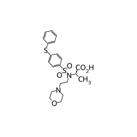 C[C@H](C(=O)O)N(CCN1CCOCC1)S(=O)(=O)c1ccc(Sc2ccccc2)cc1